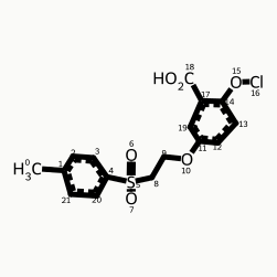 Cc1ccc(S(=O)(=O)CCOc2ccc(OCl)c(C(=O)O)c2)cc1